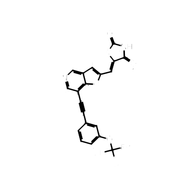 O=C1NC(=O)/C(=C/c2cc3cncc(C#Cc4cccc(OC(F)(F)F)c4)c3o2)S1